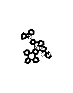 c1ccc2c(c1)-c1ccccc1-c1cc(-c3nccc4c3oc3cccnc34)c(-n3c4ccccc4c4cc(-n5c6ccccc6c6ccccc65)ccc43)cc1-c1ccccc1-2